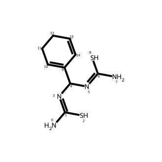 NC(S)=NC(N=C(N)S)C1=CCC[C]=C1